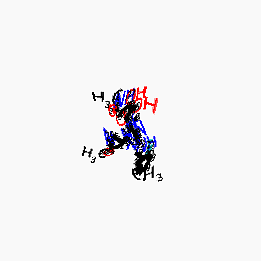 CNC(=O)[C@H]1O[C@@H](n2cnc3c(NCc4cc(C)ccc4F)nc(-c4cncc(OC)c4)nc32)[C@H](O)[C@@H]1O